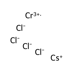 [Cl-].[Cl-].[Cl-].[Cl-].[Cr+3].[Cs+]